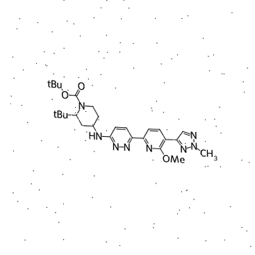 COc1nc(-c2ccc(NC3CCN(C(=O)OC(C)(C)C)C(C(C)(C)C)C3)nn2)ccc1-c1cnn(C)n1